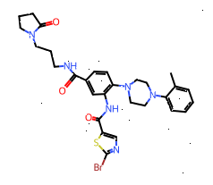 Cc1ccccc1N1CCN(c2ccc(C(=O)NCCCN3CCCC3=O)cc2NC(=O)c2cnc(Br)s2)CC1